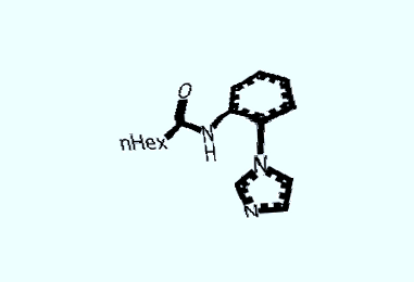 CCCCCCC(=O)Nc1ccccc1-n1ccnc1